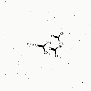 CC(=O)O.CC(=O)O.CC(=O)O.[GaH3]